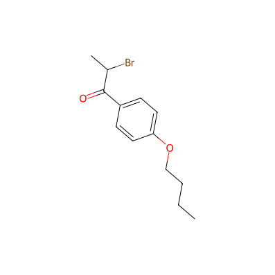 CCCCOc1ccc(C(=O)C(C)Br)cc1